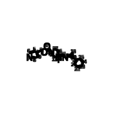 O=C(OCc1ccncc1)N1CCC(F)(CN[C@@H]2C[C@H]2c2ccccc2)CC1